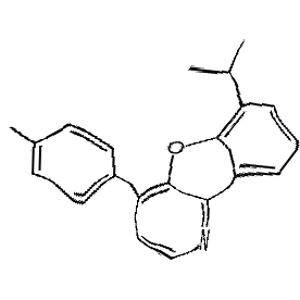 Cc1ccc(-c2ccnc3c2oc2c(C(C)C)cccc23)cc1